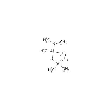 CC(C)C(C)(C)CC(C)(C)N